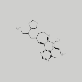 CCC/C=C\c1c(C)ncnc1C1=CC(CC(CC#N)C2CCCC2)CCN=C1NCC